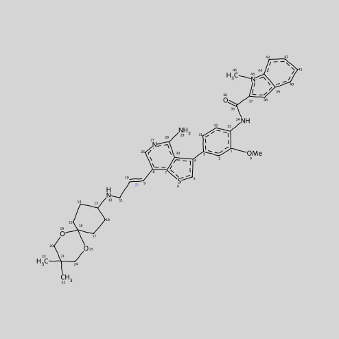 COc1cc(-c2csc3c(/C=C/CNC4CCC5(CC4)OCC(C)(C)CO5)cnc(N)c23)ccc1NC(=O)c1cc2ccccc2n1C